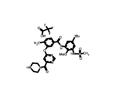 COc1c(NC(=O)c2ccc(C)c(Oc3cc(C(=O)N4CCNCC4)ncn3)c2)cc(C(C)(C)C)cc1NS(C)(=O)=O.O=C(O)C(F)(F)F